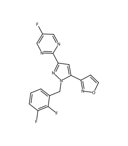 Fc1cnc(-c2cc(-c3ccon3)n(Cc3cccc(F)c3F)n2)nc1